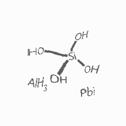 O[Si](O)(O)O.[AlH3].[Pb]